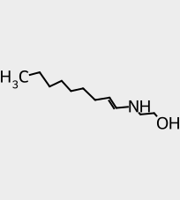 CCCCCCCC=CNCCO